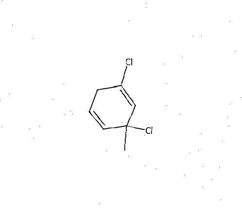 ClC1=CC(Cl)(I)C=CC1